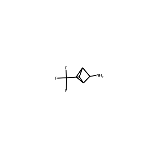 NC1C2CC1C2C(F)(F)F